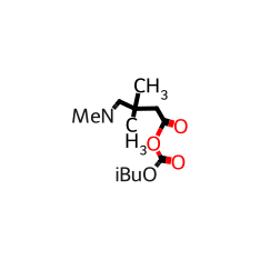 CNCC(C)(C)CC(=O)OC(=O)OCC(C)C